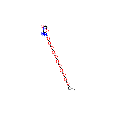 CCCOCCOCCOCCOCCOCCOCCOCCOCCOCCOCCOCCn1cc(CN2C(=O)C=CC2=O)nn1